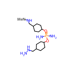 CNNCC1CCC(O[PH](N)(N)OC2CCC(CNN)CC2)CC1